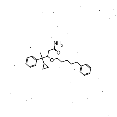 CC(c1ccccc1)(C1CC1)C(CC(N)=O)OCCCCCc1ccccc1